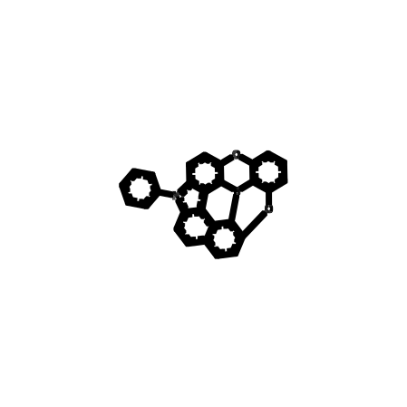 c1ccc(-n2c3ccc4c5c3c3c6c7c(ccc6ccc32)Oc2cccc(c2B75)O4)cc1